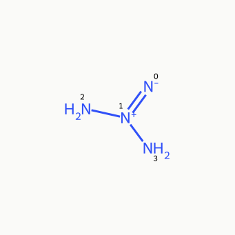 [N-]=[N+](N)N